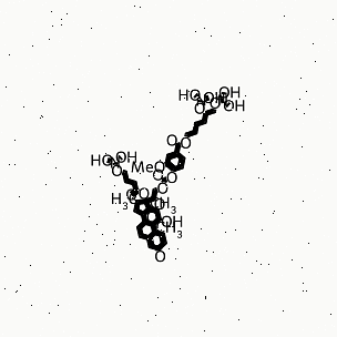 COc1cc(C(=O)OCCCCC(CON(O)O)ON(O)O)ccc1OC(=O)OCC(=O)[C@@]1(OC(=O)CCCON(O)O)[C@@H](C)CC2C3CCC4=CC(=O)C=C[C@]4(C)[C@@]3(Cl)[C@@H](O)C[C@@]21C